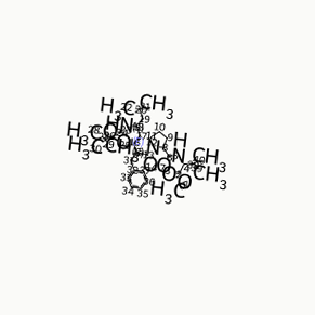 COC(=O)C(NC(=O)C1CCCN1C(=O)[C@H](/C=C/[C@H](CC(C)C)NC(=O)OC(C)(C)C)Cc1ccccc1)C(C)C